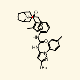 Cc1ccc(-n2nc(C(C)(C)C)cc2NC(=O)Nc2cccc(CC3CC4CCC(C3)N4C(=O)c3occc3C)c2)cc1